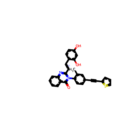 Cc1cc(C#Cc2cccs2)ccc1-n1c(/C=C/c2ccc(O)cc2O)nc2ccccc2c1=O